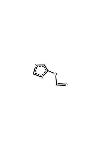 O=COc1cscn1